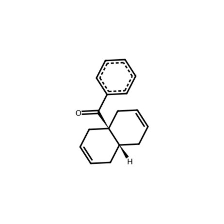 O=C(c1ccccc1)[C@]12CC=CC[C@H]1CC=CC2